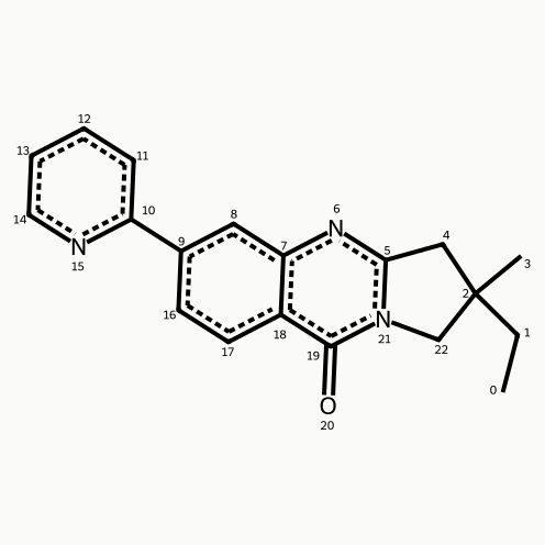 CCC1(C)Cc2nc3cc(-c4ccccn4)ccc3c(=O)n2C1